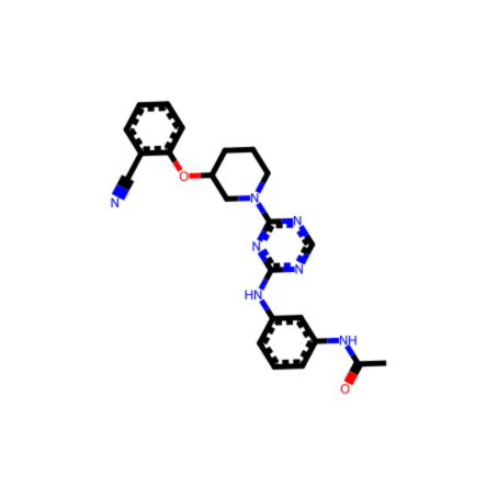 CC(=O)Nc1cccc(Nc2ncnc(N3CCCC(Oc4ccccc4C#N)C3)n2)c1